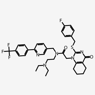 CCN(CC)CCN(Cc1ccc(-c2ccc(C(F)(F)F)cc2)nc1)C(=O)Cn1c(SCc2ccc(F)cc2)nc(=O)c2c1CCCC2